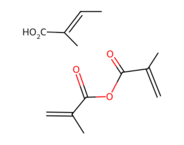 C=C(C)C(=O)OC(=O)C(=C)C.CC=C(C)C(=O)O